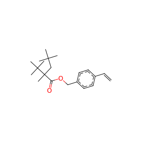 C=Cc1ccc(COC(=O)C(C)(CC(C)(C)C)C(C)(C)C)cc1